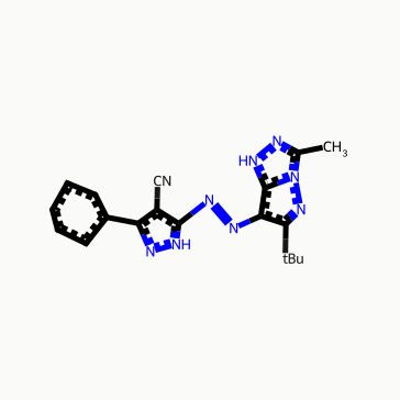 Cc1n[nH]c2c(N=Nc3[nH]nc(-c4ccccc4)c3C#N)c(C(C)(C)C)nn12